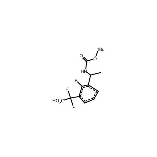 CC(NC(=O)OC(C)(C)C)c1cccc(C(F)(F)C(=O)O)c1F